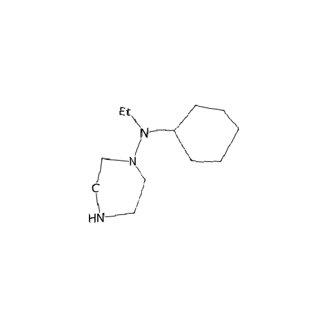 CCN(C1CCCCC1)N1CCNCC1